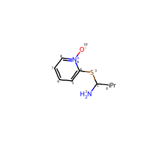 CC(C)C(N)Sc1cccc[n+]1[O-]